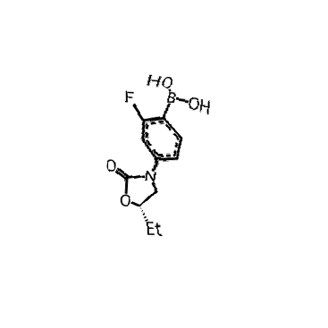 CC[C@H]1CN(c2ccc(B(O)O)c(F)c2)C(=O)O1